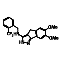 COc1cc2c(cc1OC)-c1n[nH]c(NCc3ccccc3C(F)(F)F)c1C2